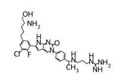 C[C@H](NCCCNC(=N)N)c1ccc(-n2cc3cc(-c4cc(CCC[C@@H](N)CO)cc(Cl)c4F)[nH]c3nc2=O)cc1